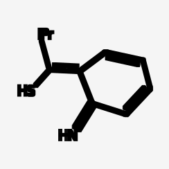 CC(C)/C(S)=C1\C=CC=CC1=N